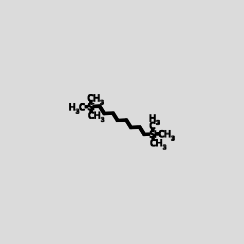 C[Si](C)(C)CCCCCCCC[Si](C)(C)C